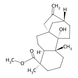 C=C1C[C@@]23CC[C@@H]4[C@](C)(C(=O)OC)CCC[C@@]4(C)[C@]2(O)CC[C@@H]1C3